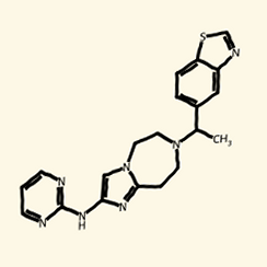 CC(c1ccc2scnc2c1)N1CCc2nc(Nc3ncccn3)cn2CC1